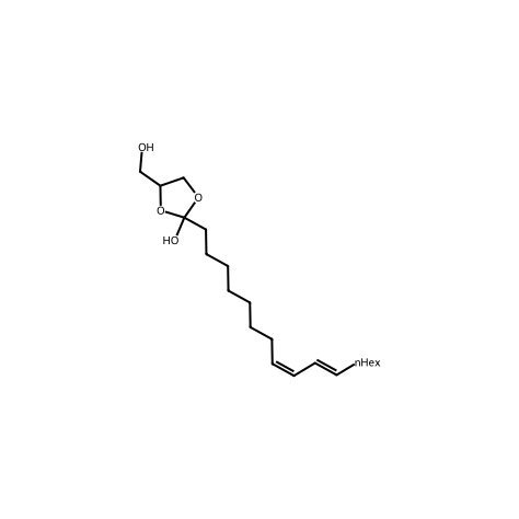 CCCCCC/C=C/C=C\CCCCCCCC1(O)OCC(CO)O1